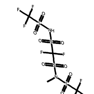 CN(S(=O)(=O)C(F)(F)F)S(=O)(=O)C(F)(F)S(=O)(=O)NS(=O)(=O)C(F)(F)F